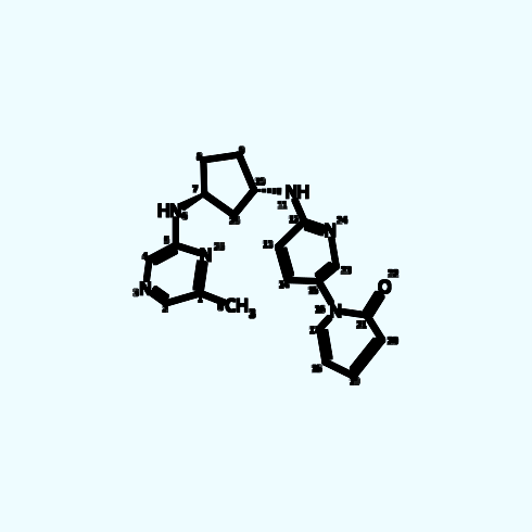 Cc1cncc(N[C@H]2CC[C@H](Nc3ccc(-n4ccccc4=O)cn3)C2)n1